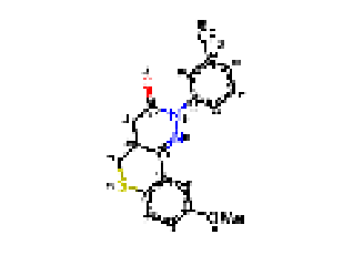 COc1ccc2c(c1)C1=NN(c3cccc(C(F)(F)F)c3)C(=O)CC1CS2